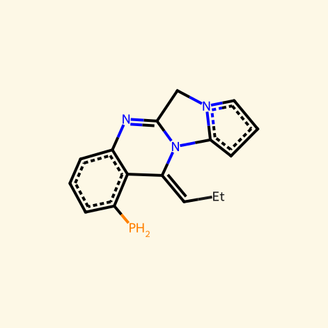 CC/C=C1/c2c(P)cccc2N=C2Cn3cccc3N21